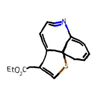 CCOC(=O)C1=CSC23CC=CC=C2N=CC=C13